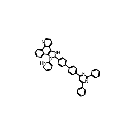 C1=CCNC(N2c3c(c4cccnc4c4ccccc34)NC2c2ccc(-c3ccc(-c4cc(-c5ccccc5)nc(-c5ccccc5)n4)cc3)cc2)=C1